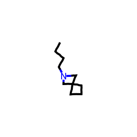 CCCCN1CC2(CCC2)C1